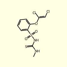 CNC(=S)NS(=O)(=O)c1ccccc1O/C(Cl)=C/Cl